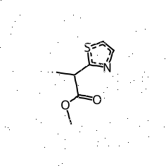 [CH2]C(C(=O)OC)c1nccs1